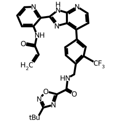 C=CC(=O)Nc1cccnc1-c1nc2c(-c3ccc(CNC(=O)c4nc(C(C)(C)C)no4)c(C(F)(F)F)c3)ccnc2[nH]1